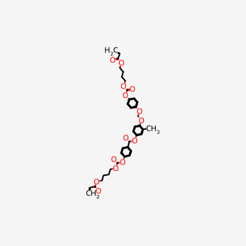 C=CC(=O)OCCCCOC(=O)Oc1ccc(OCOc2ccc(OC(=O)c3ccc(OC(=O)OCCCCOC(=O)C=C)cc3)cc2C)cc1